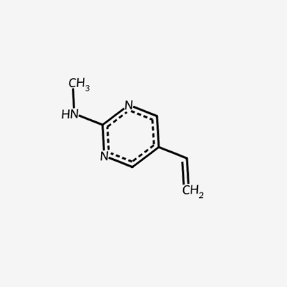 C=Cc1cnc(NC)nc1